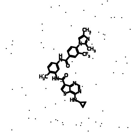 Cc1cn(-c2ccc(C(=O)Nc3ccc(C)c(NC(=O)c4csc5c(NC6CC6)ncnc45)c3)cc2C(F)(F)F)c(C)n1